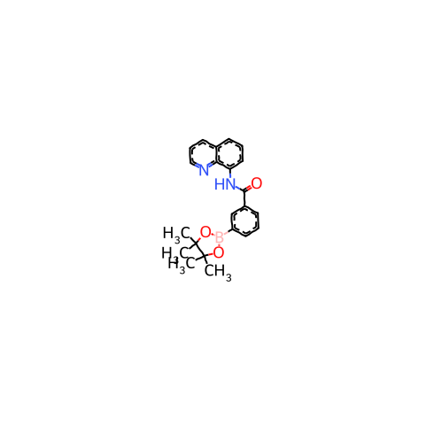 CC1(C)OB(c2cccc(C(=O)Nc3cccc4cccnc34)c2)OC1(C)C